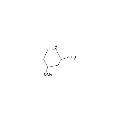 COC1CCNC(C(=O)O)C1